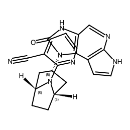 N#Cc1cccnc1N1[C@@H]2CC[C@H]1C[C@@H](n1c(=O)[nH]c3cnc4[nH]ccc4c31)C2